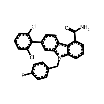 NC(=O)c1cccc2c1c1[c]cc(-c3c(Cl)cccc3Cl)cc1n2Cc1ccc(F)cc1